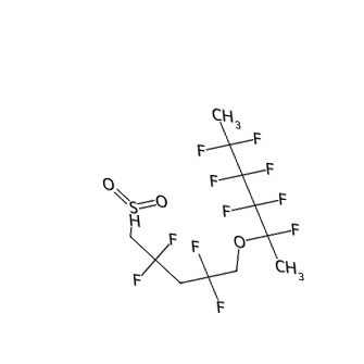 CC(F)(F)C(F)(F)C(F)(F)C(C)(F)OCC(F)(F)CC(F)(F)C[SH](=O)=O